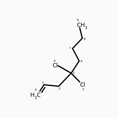 C=CCC(Cl)(Cl)CCCC